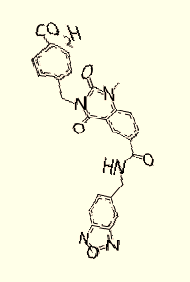 Cn1c(=O)n(Cc2ccc(C(=O)O)cc2)c(=O)c2cc(C(=O)NCc3ccc4nonc4c3)ccc21